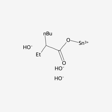 CCCCC(CC)C(=O)[O][Sn+3].[OH-].[OH-].[OH-]